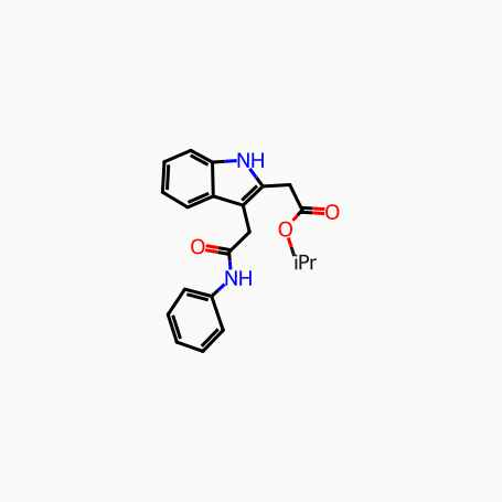 CC(C)OC(=O)Cc1[nH]c2ccccc2c1CC(=O)Nc1ccccc1